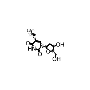 [13CH]#[13C]c1cn([C@H]2C[C@@H](O)[C@@H](CO)O2)c(=O)[nH]c1=O